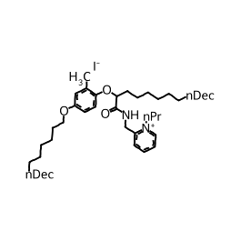 CCCCCCCCCCCCCCCCOc1ccc(OC(CCCCCCCCCCCCCCCC)C(=O)NCc2cccc[n+]2CCC)c(C)c1.[I-]